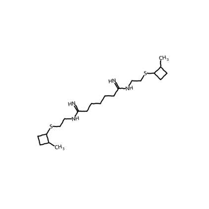 CC1CCC1SCCNC(=N)CCCCCC(=N)NCCSC1CCC1C